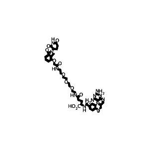 CN(Cc1cnc2nc(N)nc(N)c2n1)c1ccc(C(=O)NC(CCC(=O)NCCOCCOCCOCCNC(=O)COc2cccc3c2CN(C2CCC(=O)NC2=O)C3=O)C(=O)O)cc1